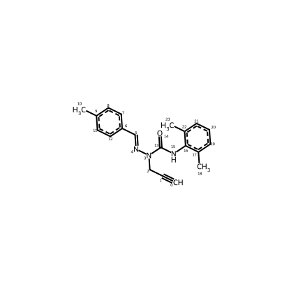 C#CCN(/N=C/c1ccc(C)cc1)C(=O)Nc1c(C)cccc1C